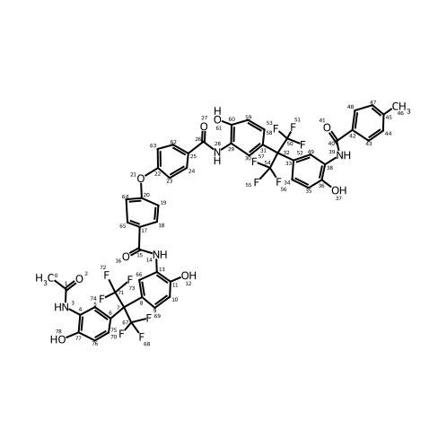 CC(=O)Nc1cc(C(c2ccc(O)c(NC(=O)c3ccc(Oc4ccc(C(=O)Nc5cc(C(c6ccc(O)c(NC(=O)c7ccc(C)cc7)c6)(C(F)(F)F)C(F)(F)F)ccc5O)cc4)cc3)c2)(C(F)(F)F)C(F)(F)F)ccc1O